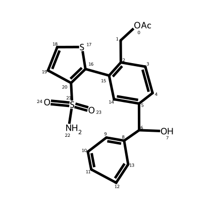 CC(=O)OCc1ccc(C(O)c2ccccc2)cc1-c1sccc1S(N)(=O)=O